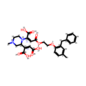 Cc1ccc(OCCOC(=O)/C=C(\C(=O)O)N2CCN(C)CC2/C(=C/C(=O)O)C(=O)O)c(Cc2ccccc2)c1